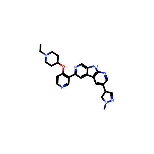 CCN1CCC(Oc2ccncc2-c2cc3c(cn2)[nH]c2ncc(C4C=NN(C)C4)cc23)CC1